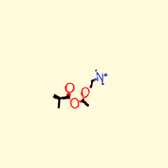 C=C(C)C(=O)OC(C)OCC[N+](C)(C)C